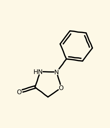 O=C1CON(c2ccccc2)N1